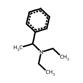 CCN(CC)C(C)c1cc[c]cc1